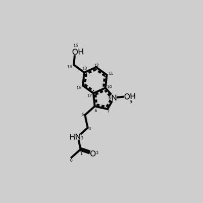 CC(=O)NCCc1cn(O)c2ccc(CO)cc12